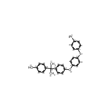 CC(C)c1ccc(Sc2ccc(Oc3ccc(C(C)(C)c4ccc(O)cc4)cc3)cc2)cc1